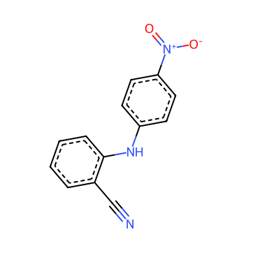 N#Cc1ccccc1Nc1ccc([N+](=O)[O-])cc1